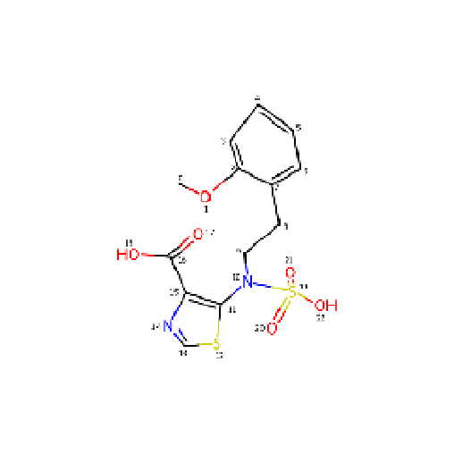 COc1ccccc1CCN(c1scnc1C(=O)O)S(=O)(=O)O